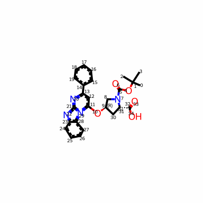 CC(C)(C)OC(=O)N1C[C@H](Oc2cc(-c3ccccc3)nc3nc4ccccc4n23)C[C@H]1C(=O)O